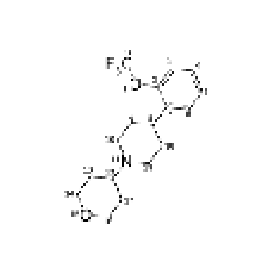 FC(F)(F)Oc1ccccc1C1CCN(C2CCOCC2)CC1